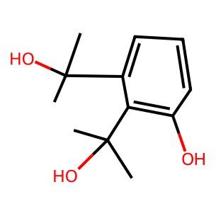 CC(C)(O)c1cccc(O)c1C(C)(C)O